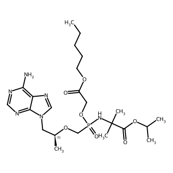 CCCCCOC(=O)COP(=O)(CO[C@@H](C)Cn1cnc2c(N)ncnc21)NC(C)(C)C(=O)OC(C)C